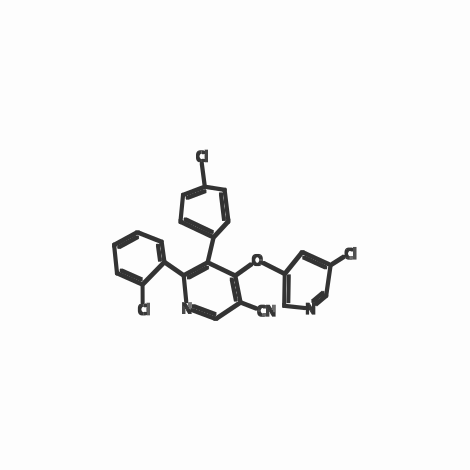 N#Cc1cnc(-c2ccccc2Cl)c(-c2ccc(Cl)cc2)c1Oc1cncc(Cl)c1